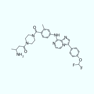 Cc1cc(Nc2nccn3c(-c4ccc(OC(F)F)cc4)cnc23)ccc1C(=O)N1CCN(C(=O)CC(C)N)CC1